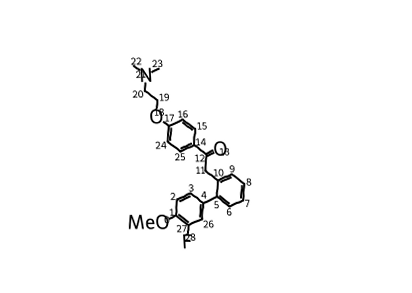 COc1ccc(-c2ccccc2CC(=O)c2ccc(OCCN(C)C)cc2)cc1F